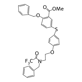 COC(=O)c1cc(Sc2ccc(OCCN(Cc3ccccc3)C(=O)C(F)(F)F)cc2)ccc1OCc1ccccc1